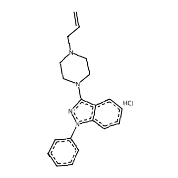 C=CCN1CCN(c2nn(-c3ccccc3)c3ccccc23)CC1.Cl